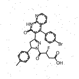 Cc1ccc(C2CC(c3c(-c4ccc(Br)cc4)c4cccnc4[nH]c3=O)=NN2C(=O)C(F)CC(=O)O)cc1